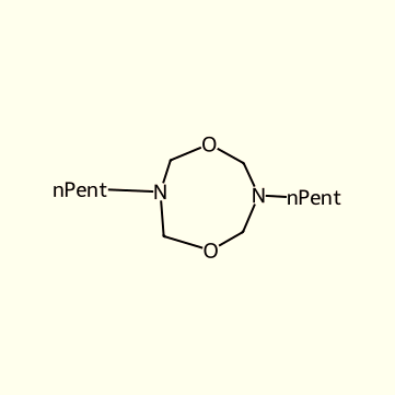 CCCCCN1COCN(CCCCC)COC1